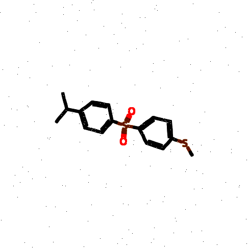 CSc1ccc(S(=O)(=O)c2ccc(C(C)C)cc2)cc1